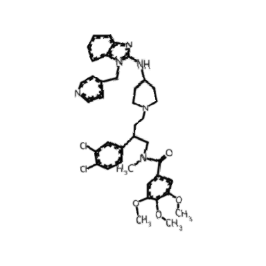 COc1cc(C(=O)N(C)CC(CCN2CCC(Nc3nc4ccccc4n3Cc3ccncc3)CC2)c2ccc(Cl)c(Cl)c2)cc(OC)c1OC